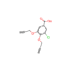 C#CCOc1cc(C(=O)O)cc(Cl)c1OCC#C